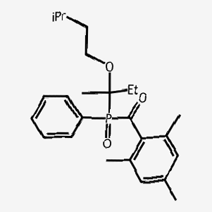 CCC(C)(OCCC(C)C)P(=O)(C(=O)c1c(C)cc(C)cc1C)c1ccccc1